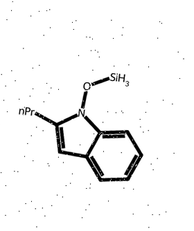 CCCc1cc2ccccc2n1O[SiH3]